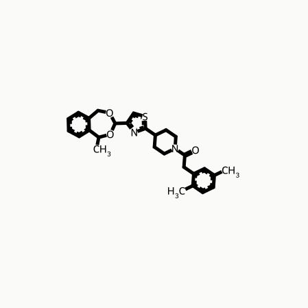 Cc1ccc(C)c(CC(=O)N2CCC(c3nc(C4OCc5ccccc5C(C)O4)cs3)CC2)c1